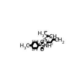 C=CCC(NS(=O)(=O)c1ccc(C)cc1)SC(C)C